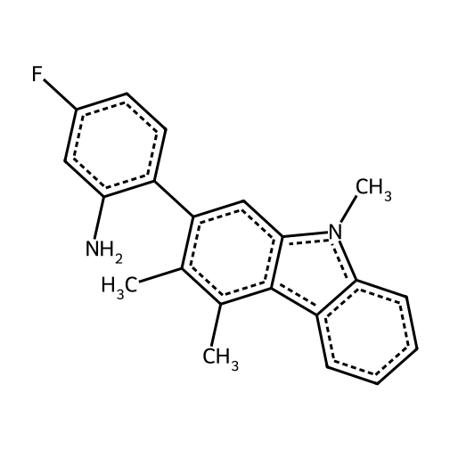 Cc1c(-c2ccc(F)cc2N)cc2c(c1C)c1ccccc1n2C